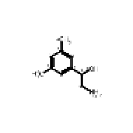 Cc1cc(C)cc(C(O)CN)c1